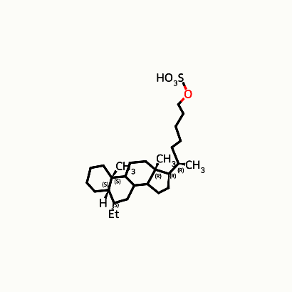 CC[C@H]1CC2C3CC[C@H]([C@H](C)CCCCCOS(=O)(=O)O)[C@@]3(C)CCC2[C@@]2(C)CCCC[C@@H]12